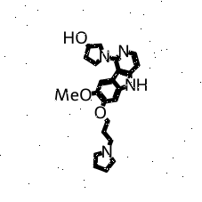 COc1cc2c(cc1OCCCN1CCCC1)[nH]c1ccnc(N3CCC(O)C3)c12